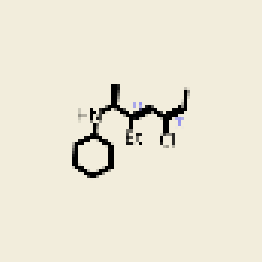 C=C(NC1CCCCC1)/C(=C/C(Cl)=C\C)CC